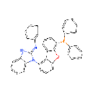 c1ccc(/N=c2\[nH]c3ccccc3n2-c2cccc3oc4c(P(c5ccccc5)c5ccccc5)cccc4c23)cc1